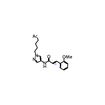 COc1ccccc1/C=C/C(=O)Nc1cnn(CCCCC(C)=O)c1